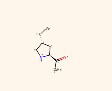 COC(=O)[C@@H]1C[C@@H](SC(C)C)CN1